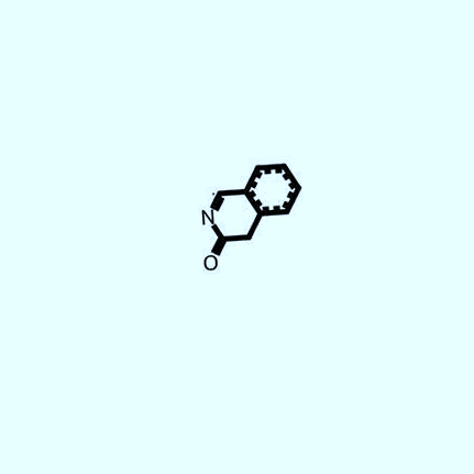 O=C1Cc2ccccc2[C]=N1